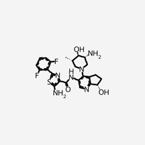 C[C@H]1CN(c2c(NC(=O)c3nc(-c4c(F)cccc4F)sc3N)cnc3c2CC[C@@H]3O)C[C@@H](N)[C@@H]1O